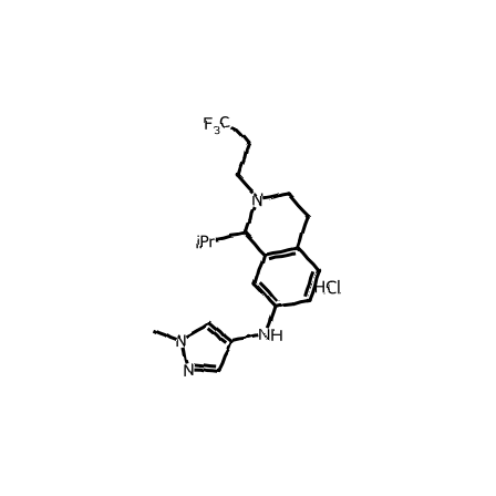 CC(C)C1c2cc(Nc3cnn(C)c3)ccc2CCN1CCC(F)(F)F.Cl